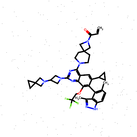 C=CC(=O)N1CC2(CCN(c3nc(N4CC(N5CC6(CC6)C5)C4)nc4c(OCC(F)(F)F)c(-c5c(C)ccc6[nH]nc(C)c56)c(C5CC5)cc34)CC2)C1